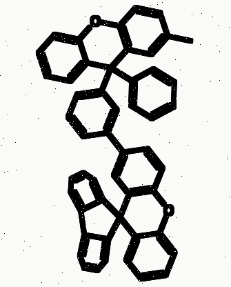 Cc1ccc2c(c1)C(c1ccccc1)(c1cccc(-c3ccc4c(c3)C3(c5ccccc5O4)c4ccccc4-c4ccccc43)c1)c1ccccc1O2